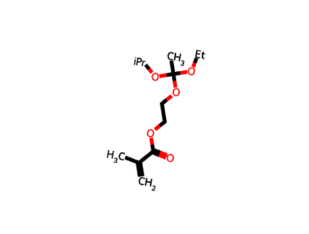 C=C(C)C(=O)OCCOC(C)(OCC)OC(C)C